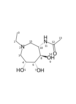 CCN1C[C@@H](O)[C@@H](O)[C@H](O)[C@@H](NC(C)=O)C1